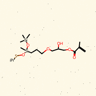 C=C(C)C(=O)OCC(O)COCCC[Si](C)(OSC(C)C)O[Si](C)(C)C